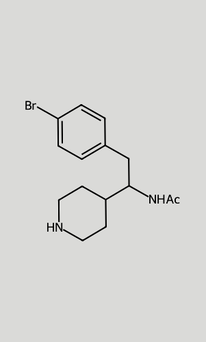 CC(=O)NC(Cc1ccc(Br)cc1)C1CCNCC1